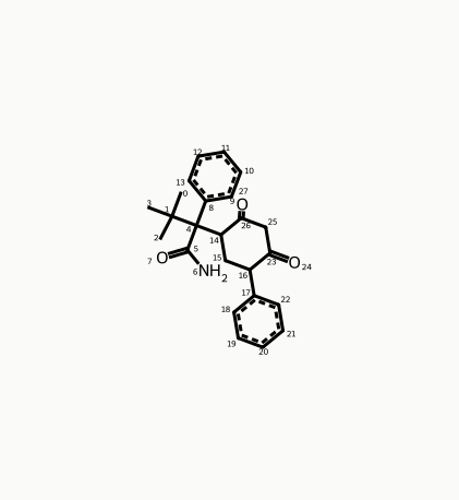 CC(C)(C)C(C(N)=O)(c1ccccc1)C1CC(c2ccccc2)C(=O)CC1=O